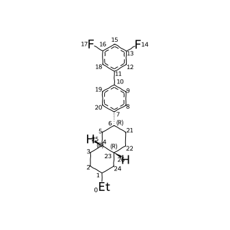 CCC1CC[C@@H]2C[C@H](c3ccc(-c4cc(F)cc(F)c4)cc3)CC[C@@H]2C1